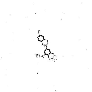 CCSc1cc(N2CCc3cc(F)ccc3C2)cc(CF)c1N